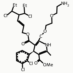 CCC(Cl)C(/C=C/COC(=O)C1=C(COCCOCCN)NC(C)=C(C(=O)OC)[C@H]1c1cccc(Cl)c1Cl)C(Cl)CC